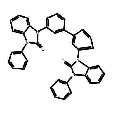 O=c1n(-c2ccccc2)c2ccccc2n1-c1cccc(-c2cccc(-n3c(=O)n(-c4ccccc4)c4ccccc43)c2)c1